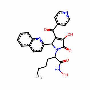 CCCCC(C(=O)NO)N1C(=O)C(O)=C(C(=O)c2ccncc2)C1c1ccc2ccccc2n1